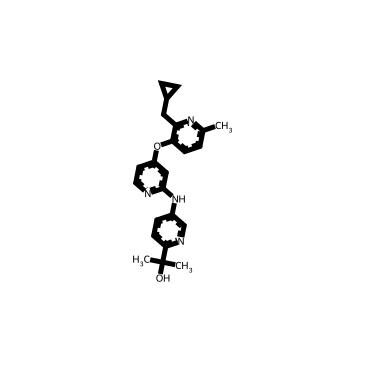 Cc1ccc(Oc2ccnc(Nc3ccc(C(C)(C)O)nc3)c2)c(CC2CC2)n1